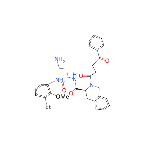 CCc1cccc(NC(=O)[C@H](CCN)NC(=O)[C@@H]2Cc3ccccc3CN2C(=O)CCC(=O)c2ccccc2)c1OC